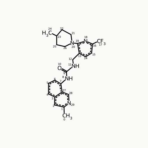 Cc1cc2cccc(NC(=O)NCc3ccc(C(F)(F)F)nc3N3CCC(C)CC3)c2cn1